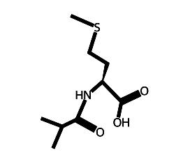 CSCC[C@H](NC(=O)C(C)C)C(=O)O